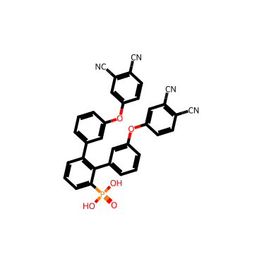 N#Cc1ccc(Oc2cccc(-c3cccc(P(=O)(O)O)c3-c3cccc(Oc4ccc(C#N)c(C#N)c4)c3)c2)cc1C#N